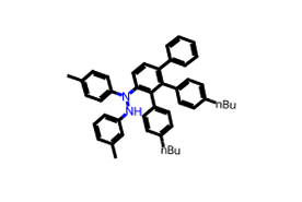 CCCCc1ccc(-c2c(-c3ccccc3)ccc(N(Nc3cccc(C)c3)c3ccc(C)cc3)c2-c2ccc(CCCC)cc2)cc1